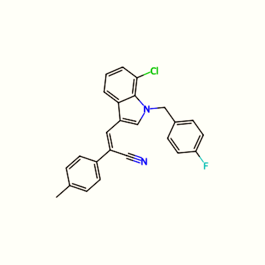 Cc1ccc(/C(C#N)=C/c2cn(Cc3ccc(F)cc3)c3c(Cl)cccc23)cc1